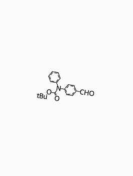 CC(C)(C)OC(=O)N(c1ccccc1)c1ccc(C=O)cc1